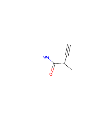 C#CC(C)C([NH])=O